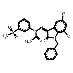 NC(=S)N(/N=C1\C(=O)N(Cc2ccccc2)c2c(Cl)cc(Cl)cc21)c1cccc(S(N)(=O)=O)c1